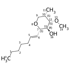 CCCCCC=C[C@@H]1OC[C@H](C)[C@H](OC)[C@H]1O